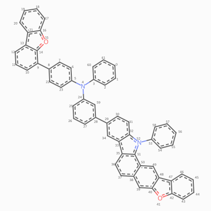 c1ccc(N(c2ccc(-c3cccc4c3oc3ccccc34)cc2)c2cccc(-c3ccc4c(c3)c3ccc5cc6oc7ccccc7c6cc5c3n4-c3ccccc3)c2)cc1